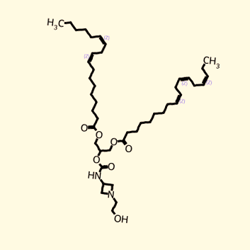 CC/C=C\C/C=C\C/C=C\CCCCCCCC(=O)OCC(COC(=O)CCCCCCC/C=C\C/C=C\CCCCC)OC(=O)NC1CN(CCO)C1